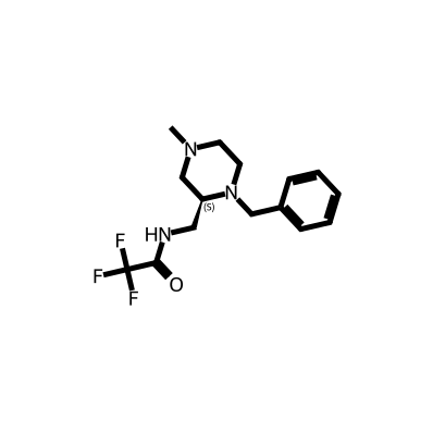 CN1CCN(Cc2ccccc2)[C@@H](CNC(=O)C(F)(F)F)C1